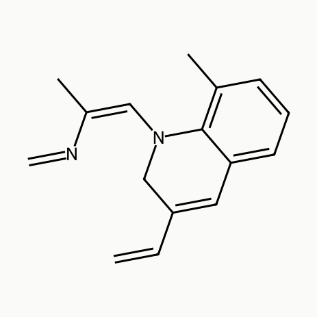 C=CC1=Cc2cccc(C)c2N(/C=C(/C)N=C)C1